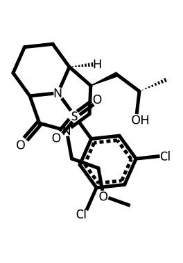 COCCN1C[C@H](C[C@H](C)O)[C@@H]2CCCC(C1=O)N2S(=O)(=O)c1cc(Cl)cc(Cl)c1